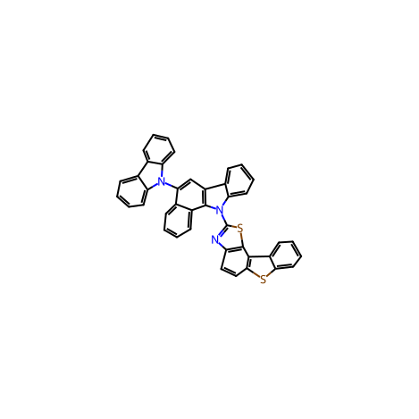 c1ccc2c(c1)sc1ccc3nc(-n4c5ccccc5c5cc(-n6c7ccccc7c7ccccc76)c6ccccc6c54)sc3c12